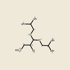 CCCC(CCC)COC(OCC(CCC)CCC)C(CC)CC(=O)O